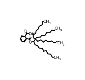 CCCCCCCCCCC(OC(=O)c1ccccc1C(=O)O)C(CCCCCCCCC)(CCCCCCCCC)CCCCCCCCC